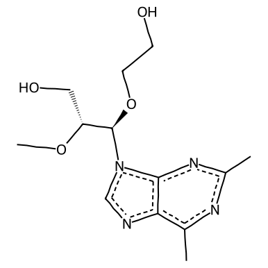 CO[C@H](CO)[C@@H](OCCO)n1cnc2c(C)nc(C)nc21